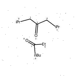 CC(C)CC(=O)CC(C)C.CCCCC(=O)CC